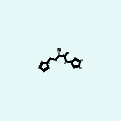 CC(CCCC1C=CC=C1)CC1C=CC=C1.[Ni]